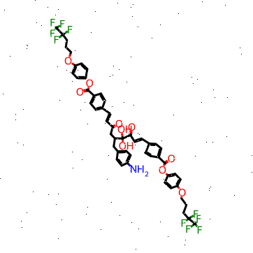 Nc1ccc(CC(CC(=O)/C=C/c2ccc(C(=O)Oc3ccc(OCCCC(F)(F)C(F)(F)F)cc3)cc2)C(O)(O)C(=O)/C=C/c2ccc(C(=O)Oc3ccc(OCCCC(F)(F)C(F)(F)F)cc3)cc2)cc1